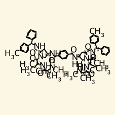 CN[C@@H](C)C(=O)N[C@H](C(=O)N1C[C@@H](NC(=O)c2ccc(C(=O)N[C@H]3C[C@@H](C(=O)N[C@H](c4ccccc4)c4ccc(C)cc4)N(C(=O)[C@@H](NC(=O)[C@H](C)NC)C(C)(C)C)C3)cc2)C[C@H]1C(=O)NC(c1ccccc1)c1ccc(C)cc1)C(C)(C)C